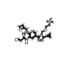 C[Si](C)(C)CCOCn1c(-c2cnc(NCC3CCO3)c(NC(=O)CCl)c2)nnc1C1CC1